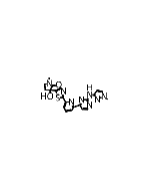 CN1CCC(O)(c2cnc(-c3cccc(-c4ccnc(Nc5ccn(C)n5)n4)n3)s2)C1=O